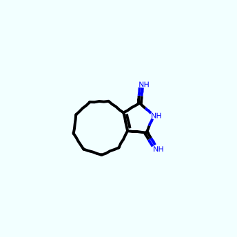 N=C1NC(=N)C2=C1CCCCCCC2